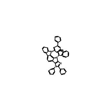 c1ccc(-c2cc(-c3ccccc3)cc(-n3c4ccccc4c4ccc5c6c(nc(-c7ccccc7)n6-c6ccccc6)n(-c6ccccc6)c5c43)c2)cc1